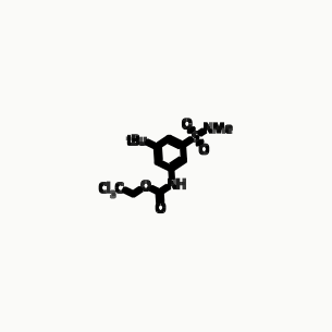 CNS(=O)(=O)c1cc(NC(=O)OCC(Cl)(Cl)Cl)cc(C(C)(C)C)c1